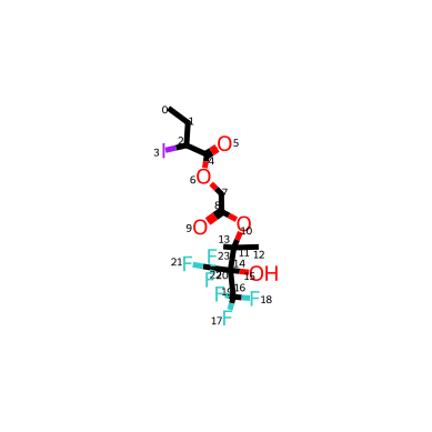 CCC(I)C(=O)OCC(=O)OC(C)(C)C(O)(C(F)(F)F)C(F)(F)F